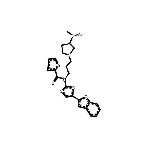 CC(=O)N(C)C1CCN(CCCN(C(=O)c2cccs2)c2nc(-c3cc4ccccc4o3)cs2)C1